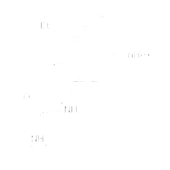 CCCCCCc1cc(NC(N)=O)cc(CC)c1C